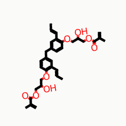 C=C(C)C(=O)OCC(O)COc1ccc(Cc2ccc(OCC(O)COC(=O)C(=C)C)c(C=CC)c2)cc1C=CC